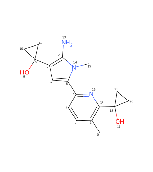 Cc1ccc(-c2cc(C3(O)CC3)c(N)n2C)nc1C1(O)CC1